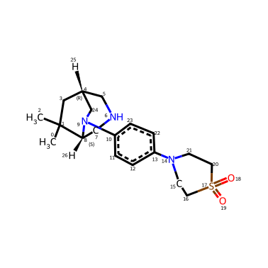 CC1(C)C[C@@H]2CNC[C@H]1N(c1ccc(N3CCS(=O)(=O)CC3)cc1)C2